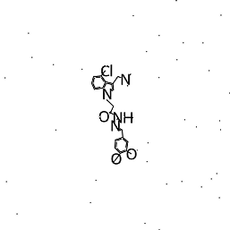 COc1ccc(/C=N/NC(=O)CCn2cc(CN(C)C)c3c(Cl)cccc32)cc1OC